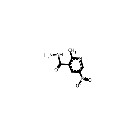 Cc1ncc([N+](=O)[O-])cc1C(=O)NN